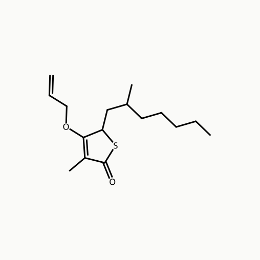 C=CCOC1=C(C)C(=O)SC1CC(C)CCCCC